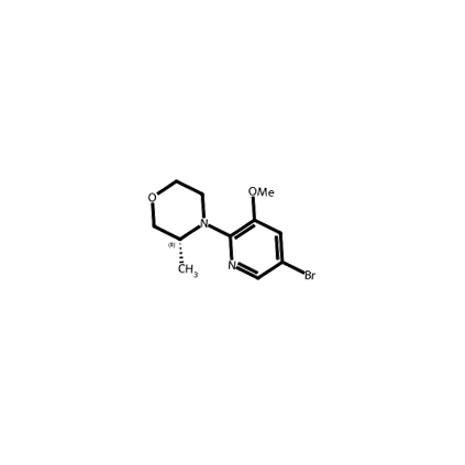 COc1cc(Br)cnc1N1CCOC[C@H]1C